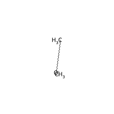 CCCCCCCCCCCCCCCCCCCCCCC[CH]OC